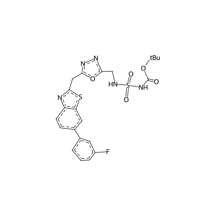 CC(C)(C)OC(=O)NS(=O)(=O)NCc1nnc(Cc2nc3ccc(-c4cccc(F)c4)cc3s2)o1